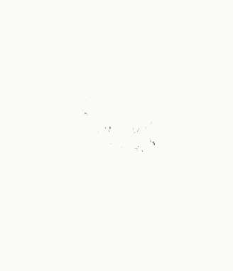 CCCN1CC2(CCN(CCOC(C)C)CC2)OC(C)C1=O